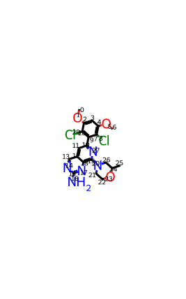 COc1cc(OC)c(Cl)c(-c2cc3cnc(N)nc3c(N3CCOC(C)C3)n2)c1Cl